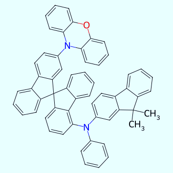 CC1(C)c2ccccc2-c2ccc(N(c3ccccc3)c3cccc4c3-c3ccccc3C43c4ccccc4-c4ccc(N5c6ccccc6Oc6ccccc65)cc43)cc21